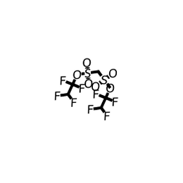 O=S(=O)(CS(=O)(=O)OC(F)(F)C(F)F)OC(F)(F)C(F)F